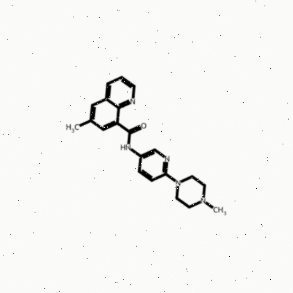 Cc1cc(C(=O)Nc2ccc(N3CCN(C)CC3)nc2)c2ncccc2c1